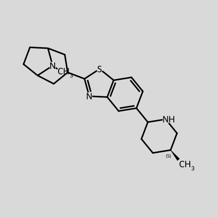 C[C@H]1CCC(c2ccc3sc(C4CC5CCC(C4)N5C)nc3c2)NC1